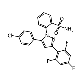 NS(=O)(=O)c1ccccc1-n1nc(-c2c(F)cc(F)cc2F)cc1-c1ccc(Cl)cc1